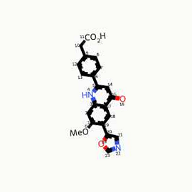 COc1cc2[nH]c(-c3ccc(CC(=O)O)cc3)cc(=O)c2cc1-c1cnco1